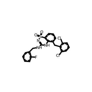 O=S1(=O)N=C(NCc2ccccc2F)Nc2c(Cc3c(Cl)cccc3Cl)cccc21